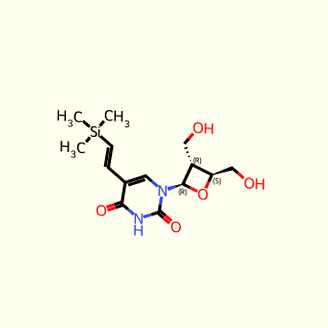 C[Si](C)(C)C=Cc1cn([C@@H]2O[C@H](CO)[C@H]2CO)c(=O)[nH]c1=O